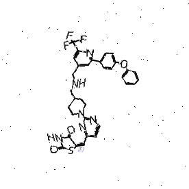 O=C1NC(=O)/C(=C\c2ccnc(N3CCC(CNCc4cc(-c5ccc(Oc6ccccc6)cc5)nc(C(F)(F)F)c4)CC3)n2)S1